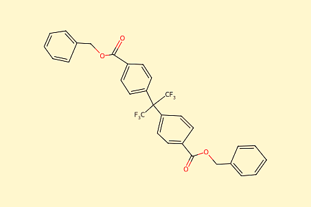 O=C(OCc1ccccc1)c1ccc(C(c2ccc(C(=O)OCc3ccccc3)cc2)(C(F)(F)F)C(F)(F)F)cc1